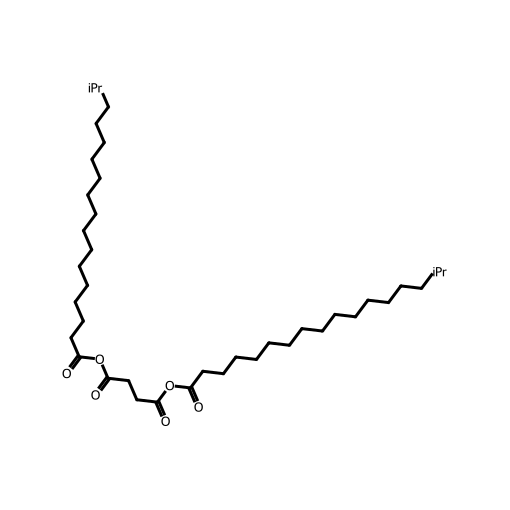 CC(C)CCCCCCCCCCCCCCC(=O)OC(=O)CCC(=O)OC(=O)CCCCCCCCCCCCCCC(C)C